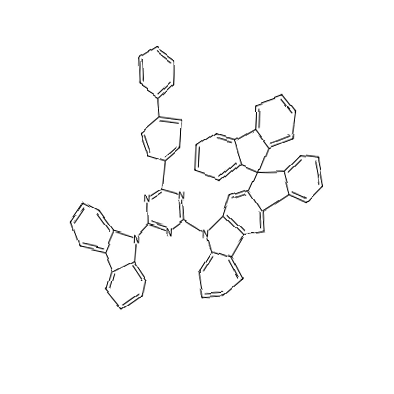 c1ccc(-c2ccc(-c3nc(-n4c5ccccc5c5ccccc54)nc(-n4c5ccccc5c5cc6c(cc54)C4(c5ccccc5-c5ccccc54)c4ccccc4-6)n3)cc2)cc1